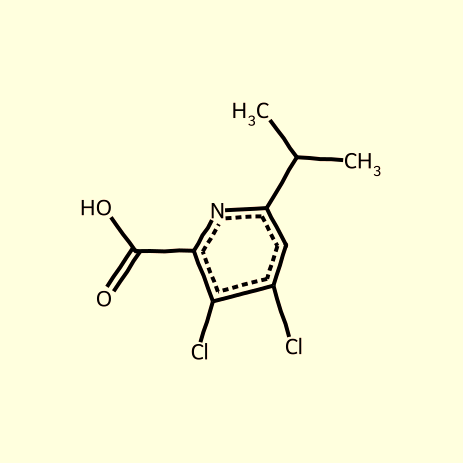 CC(C)c1cc(Cl)c(Cl)c(C(=O)O)n1